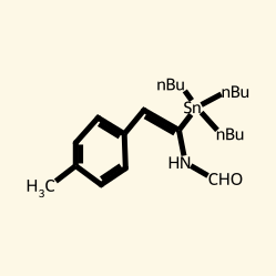 CCC[CH2][Sn]([CH2]CCC)([CH2]CCC)/[C](=C/c1ccc(C)cc1)NC=O